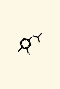 Cc1ccc(OC(C)C)cc1Br